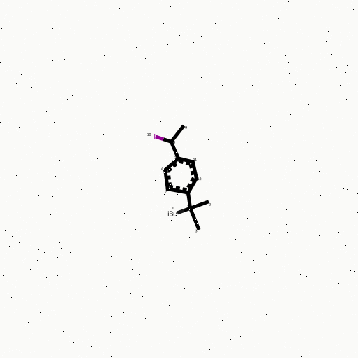 CCC(C)C(C)(C)c1ccc(C(C)I)cc1